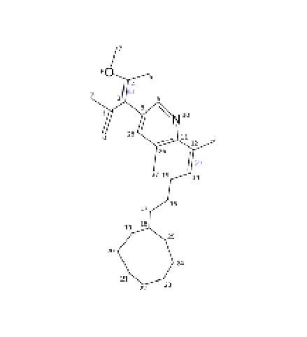 C=C(C)/C(=C(/C)OC)c1cnc(/C(C)=C\CCCC2CCCCCCC2)c(C)c1